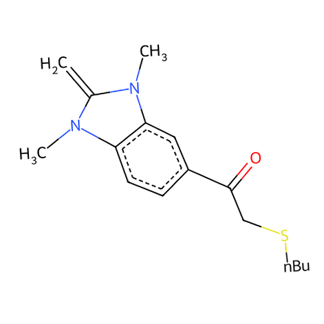 C=C1N(C)c2ccc(C(=O)CSCCCC)cc2N1C